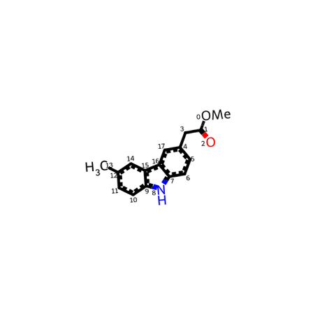 COC(=O)Cc1ccc2[nH]c3ccc(C)cc3c2c1